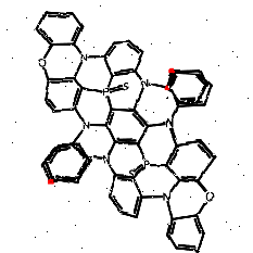 S=P12c3c4cccc3N3c5ccccc5Oc5ccc(c1c53)N(c1ccccc1)c1c3c5c(c(c12)N4c1ccccc1)N(c1ccccc1)c1ccc2c4c1P5(=S)c1c(cccc1N4c1ccccc1O2)N3c1ccccc1